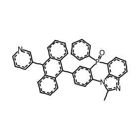 Cc1nc2cccc3c2n1-c1ccc(-c2c4ccccc4c(-c4cccnc4)c4ccccc24)cc1P3(=O)c1ccccc1